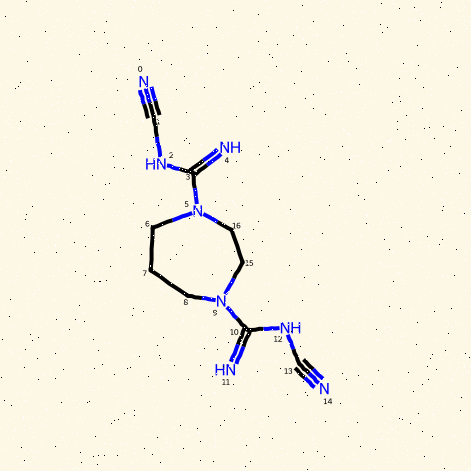 N#CNC(=N)N1CCCN(C(=N)NC#N)CC1